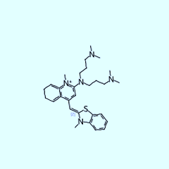 CN(C)CCCN(CCCN(C)C)c1cc(/C=C2\Sc3ccccc3N2C)c2c([n+]1C)=CCCC=2